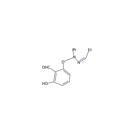 CC/C=N\N(Oc1cccc(O)c1C=O)C(C)C